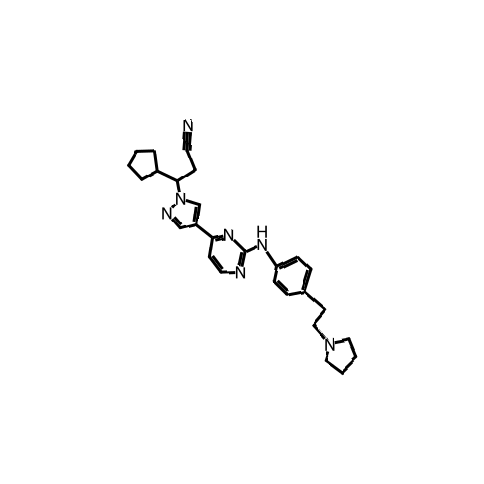 N#CCC(C1CCCC1)n1cc(-c2ccnc(Nc3ccc(CCN4CCCC4)cc3)n2)cn1